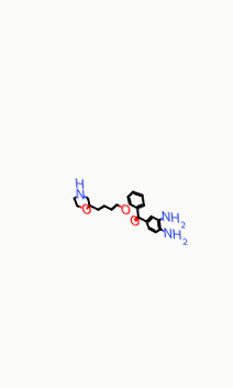 Nc1ccc(C(=O)c2ccccc2OCCCCC2CNCCO2)cc1N